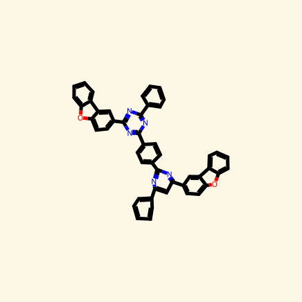 c1ccc(-c2cc(-c3ccc4oc5ccccc5c4c3)nc(-c3ccc(-c4nc(-c5ccccc5)nc(-c5ccc6oc7ccccc7c6c5)n4)cc3)n2)cc1